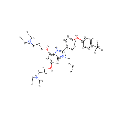 CCCCn1c(-c2ccc(Oc3ccc(C(C)(C)C)cc3)cc2)nc2c(OCCCN(CC)CC)cc(OCCCN(CC)CC)cc21